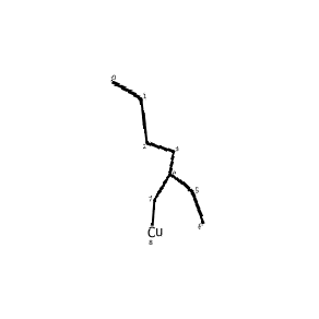 CCCCC(CC)[CH2][Cu]